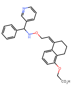 O=C(O)COc1cccc2c1CCC/C2=C/CONC(c1ccccc1)c1cccnc1